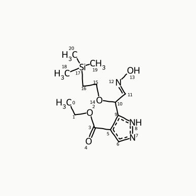 CCOC(=O)c1cn[nH]c1C(C=NO)OCC[Si](C)(C)C